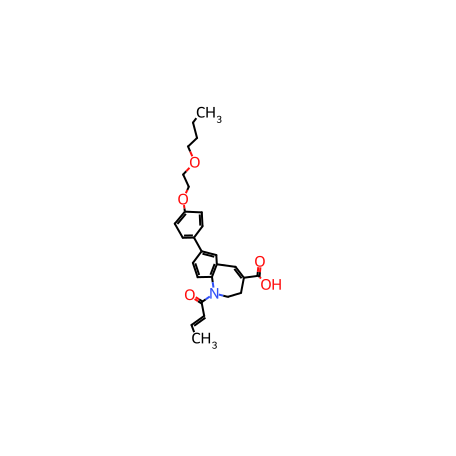 C/C=C/C(=O)N1CCC(C(=O)O)=Cc2cc(-c3ccc(OCCOCCCC)cc3)ccc21